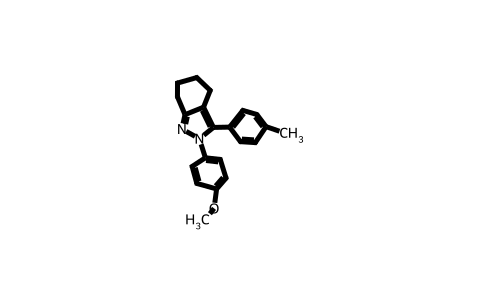 COc1ccc(-n2nc3c(c2-c2ccc(C)cc2)CCCC3)cc1